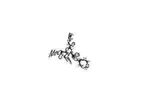 CO[C@H](C)C(=O)N[C@@H](CCC(=O)C=[N+]=[N-])C(=O)OC1CCCOCCC1